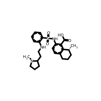 C[C@@H]1CCCc2ccc(NS(=O)(=O)c3ccccc3NCCC3CCCN3C)c(C(=O)O)c21